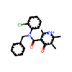 Cc1[nH]c(C)c(C(=O)N(Cc2ccccc2)c2ccccc2Cl)c(=O)c1C